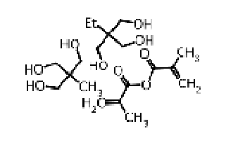 C=C(C)C(=O)OC(=O)C(=C)C.CC(CO)(CO)CO.CCC(CO)(CO)CO